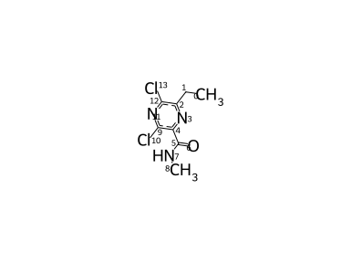 CCc1nc(C(=O)NC)c(Cl)nc1Cl